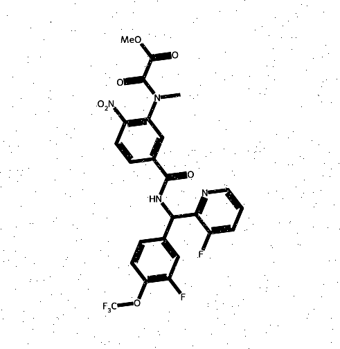 COC(=O)C(=O)N(C)c1cc(C(=O)NC(c2ccc(OC(F)(F)F)c(F)c2)c2ncccc2F)ccc1[N+](=O)[O-]